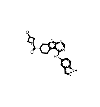 O=C([C@H]1CCc2c(sc3ncnc(Nc4ccc5[nH]ncc5c4)c23)C1)N1CC(O)C1